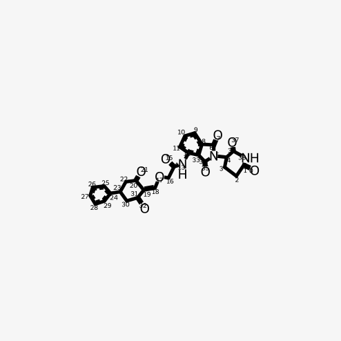 O=C1CCC(N2C(=O)c3cccc(NC(=O)COC=C4C(=O)CC(c5ccccc5)CC4=O)c3C2=O)C(=O)N1